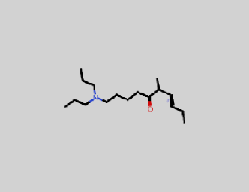 CC/C=C/C(C)C(=O)CCCCN(CCC)CCC